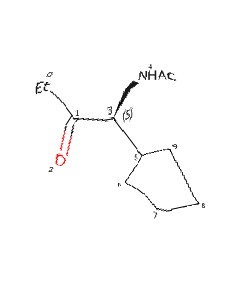 CCC(=O)[C@@H](NC(C)=O)C1CCCC1